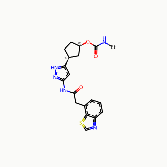 CCNC(=O)O[C@@H]1CC[C@H](c2cc(NC(=O)Cc3cccc4ncsc34)n[nH]2)C1